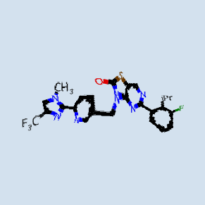 CC(C)c1c(F)cccc1-c1ncc2sc(=O)n(Cc3ccc(-c4nc(C(F)(F)F)cn4C)nc3)c2n1